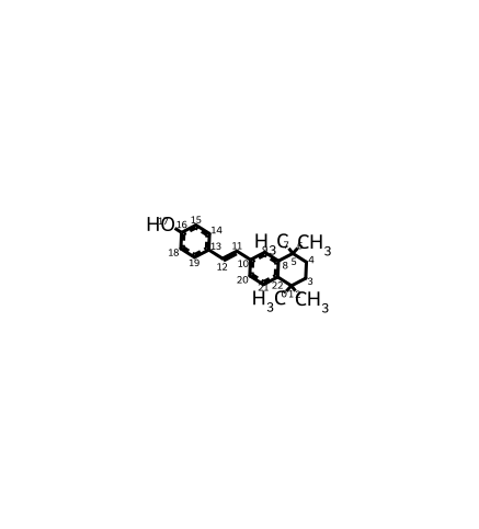 CC1(C)CCC(C)(C)c2cc(/C=C/c3ccc(O)cc3)ccc21